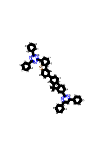 CC1(C)c2cc(-c3nc(-c4ccccc4)cc(-c4ccccc4)n3)ccc2-c2ccc(C3C=c4c(sc5c(-c6nc(-c7ccccc7)nc(-c7ccccc7)n6)cccc45)=CC3)cc21